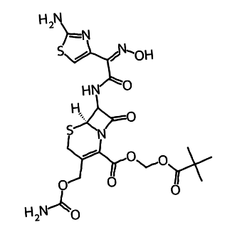 CC(C)(C)C(=O)OCOC(=O)C1=C(COC(N)=O)CS[C@H]2C(NC(=O)/C(=N\O)c3csc(N)n3)C(=O)N12